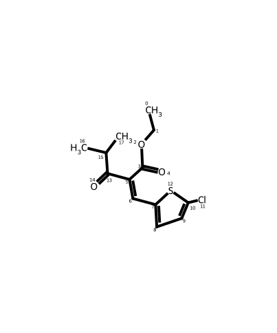 CCOC(=O)C(=Cc1ccc(Cl)s1)C(=O)C(C)C